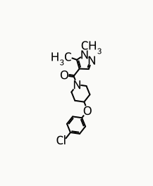 Cc1c(C(=O)N2CCC(Oc3ccc(Cl)cc3)CC2)cnn1C